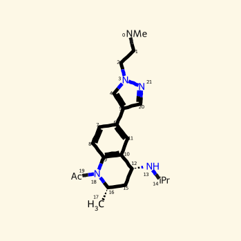 CNCCn1cc(-c2ccc3c(c2)[C@H](NC(C)C)C[C@H](C)N3C(C)=O)cn1